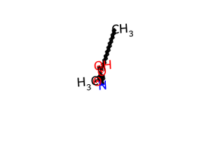 CCCCCCCCCCCCCCCCCCC[C@H](CO)OCc1ccc(C#N)c(OC)c1